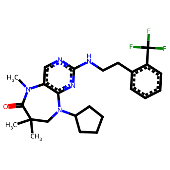 CN1C(=O)C(C)(C)CN(C2CCCC2)c2nc(NCCc3ccccc3C(F)(F)F)ncc21